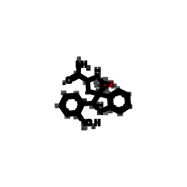 NC(=O)C1CC2(c3ccccc3NC2c2ccccc2S(=O)(=O)O)C2(CCCCC2)N1